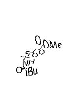 CCC(C)C(=O)NCC(C)(C)SC(=O)CC(=O)C(=O)OC